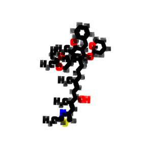 C/C(=C\C[C@H](O)/C(C)=C/c1csc(C)n1)CCC[C@H](C)[C@@H](OC1CCCCO1)C(Cc1ccccc1)C(=O)C(C)(C)[C@@H]1CCOC(C)(C)O1